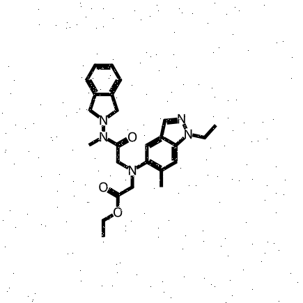 CCOC(=O)CN(CC(=O)N(C)N1Cc2ccccc2C1)c1cc2cnn(CC)c2cc1C